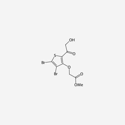 COC(=O)COc1c(C(=O)CO)sc(Br)c1Br